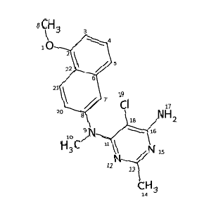 COc1cccc2cc(N(C)c3nc(C)nc(N)c3Cl)ccc12